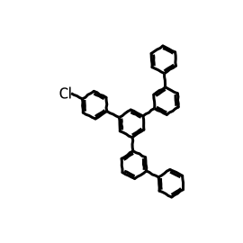 Clc1ccc(-c2cc(-c3cccc(-c4ccccc4)c3)cc(-c3cccc(-c4ccccc4)c3)c2)cc1